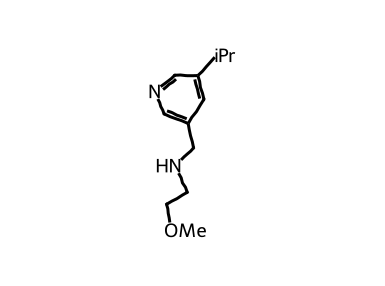 COCCNCc1cncc(C(C)C)c1